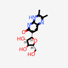 Cc1nc2cc([C@@H]3O[C@H](CO)C(O)[C@@H]3O)c(=O)nc-2[nH]c1C